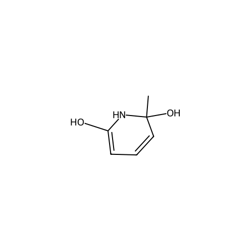 CC1(O)C=CC=C(O)N1